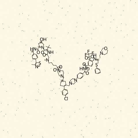 Cc1ncsc1-c1ccc([C@H](C)NC(=O)[C@@H]2C[C@@H](O)CN2C(=O)[C@@H](NC(=O)CN(C)CCCCS(=O)(=O)N2CCN(C[C@]3(C)CCC(c4ccc(Cl)cc4)=C(CN4CCN(c5ccc(C(=O)NS(=O)(=O)c6ccc(N[C@H](CCN7CCCOCC7)CSc7ccccc7)c(S(=O)(=O)C(F)(F)F)c6)cc5)CC4)C3)CC2)C(C)(C)C)cc1